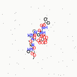 C=CCOC(=O)[C@@H](C)C[C@H](Cc1ccccc1)NC(=O)c1csc([C@@H](C[C@H](C(C)C)N(C)C(=O)[C@@H](NC(=O)[C@H]2CCCC[N+]2(C)Cc2ccc(O[C@@H]3O[C@H](C(=O)OC)[C@@H](OC(C)=O)[C@H](OC(C)=O)[C@H]3OC(C)=O)c(NC(=O)CCNC(=O)OCC3c4ccccc4-c4ccccc43)c2)[C@@H](C)CC)OCC)n1